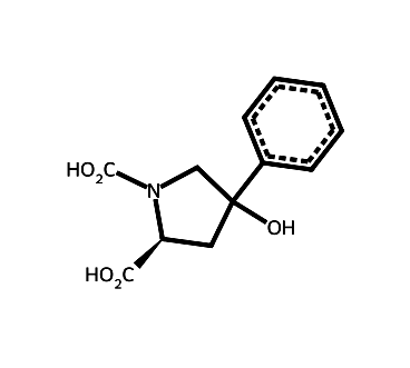 O=C(O)[C@@H]1CC(O)(c2ccccc2)CN1C(=O)O